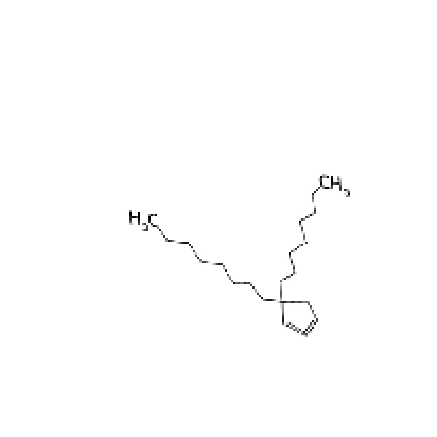 CCCCCCCCC1(CCCCCCCC)C=C=CC1